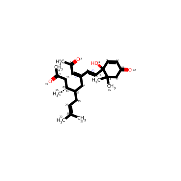 CC(=O)/C=C(\C=C\C1(O)C=CC(=O)CC1(C)C)CC(CC=C(C)C)[C@H](C)CC(C)=O